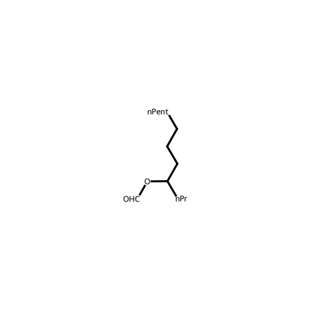 CCCCCCCCC(CCC)OC=O